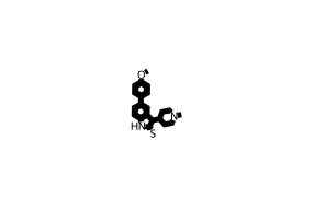 COc1ccc(-c2ccc3c(c2)C(C2CCN(C)CC2)C(=S)N3)cc1